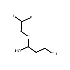 OCCC(O)OCC(F)F